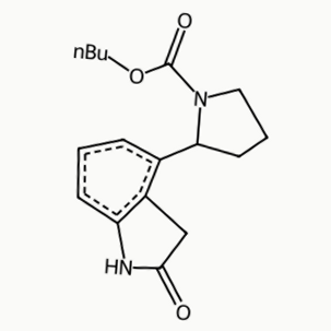 CCCCOC(=O)N1CCCC1c1cccc2c1CC(=O)N2